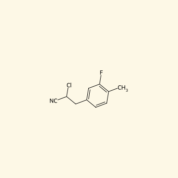 Cc1ccc(CC(Cl)C#N)cc1F